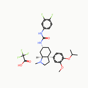 COc1cc([C@@]23CC[C@@H](NC(=O)Nc4ccc(F)c(F)c4)C[C@@H]2N(C)CC3)ccc1OC(C)C.O=C(O)C(F)(F)F